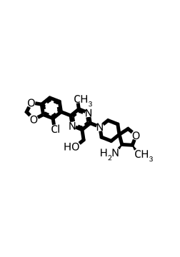 Cc1nc(N2CCC3(CC2)CO[C@@H](C)[C@H]3N)c(CO)nc1-c1ccc2c(c1Cl)OCO2